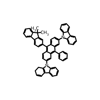 CC1(C)c2ccccc2-c2ccc(-c3c4ccc(-n5c6c(c7ccccc75)C=CCC6)cc4c(-c4ccccc4)c4cc(-n5c6ccccc6c6ccccc65)ccc34)cc21